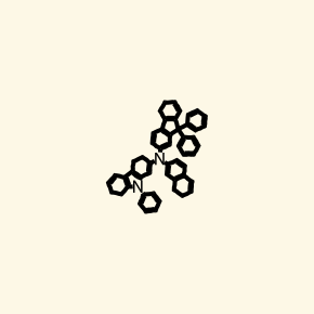 C1=CC2=C(CC1)c1ccc(N(C3=Cc4c(c5c(n4-c4ccccc4)CCC=C5)CC3)c3ccc4c(c3)CCC=C4)cc1C2(c1ccccc1)c1ccccc1